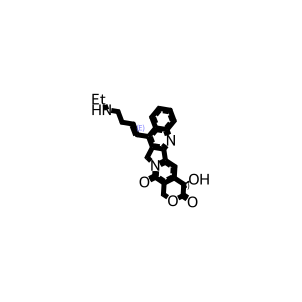 CCNCC/C=C/c1c2c(nc3ccccc13)-c1cc3c(c(=O)n1C2)COC(=O)[C@H]3O